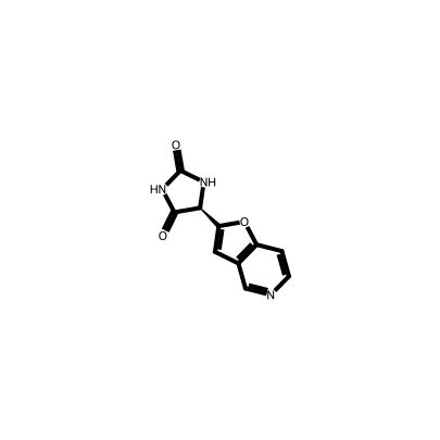 O=C1NC(=O)[C@H](c2cc3cnccc3o2)N1